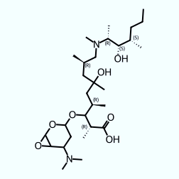 CCC[C@H](C)[C@H](O)[C@@H](C)N(C)C[C@H](C)CC(C)(O)C[C@@H](C)C(OC1CC(N(C)C)C2OC2O1)[C@@H](C)C(=O)O